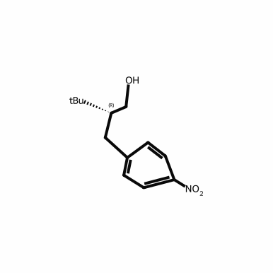 CC(C)(C)[C@H](CO)Cc1ccc([N+](=O)[O-])cc1